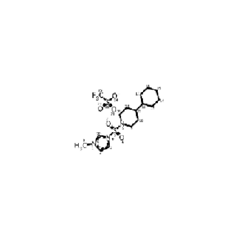 C[n+]1ccn(S(=O)(=O)N2CCC(C3CCCCC3)CC2)c1.O=S(=O)([O-])C(F)(F)F